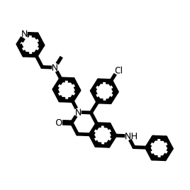 CN(Cc1ccncc1)c1ccc(N2C(=O)Cc3ccc(NCc4ccccc4)cc3C2c2ccc(Cl)cc2)cc1